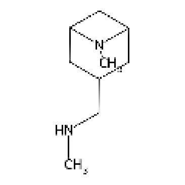 CNCC1CC2CC(C1)N2C